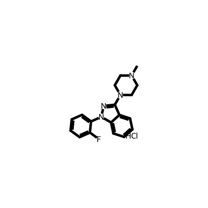 CN1CCN(c2nn(-c3ccccc3F)c3ccccc23)CC1.Cl